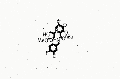 CCCCOc1c(C(=O)NCc2ccc(F)c(Cl)c2)n(C(CO)COCOC)cc(Br)c1=O